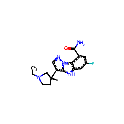 CC1(c2cnn3c2[nH]c2cc(F)cc(C(N)=O)c23)CCN(CC(F)(F)F)C1